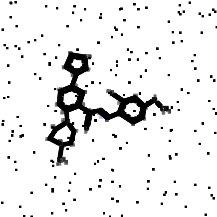 COc1ccc(/C=C/C(=O)c2cc(-c3ccsc3)ccc2N2CCN(C)CC2)c(F)c1